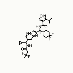 CC(C)c1nonc1C(=O)N[C@H](c1cn2ncc(C(NC(=O)CC(C)(F)F)C3CC3)cc2n1)C1CCC(F)(F)CC1